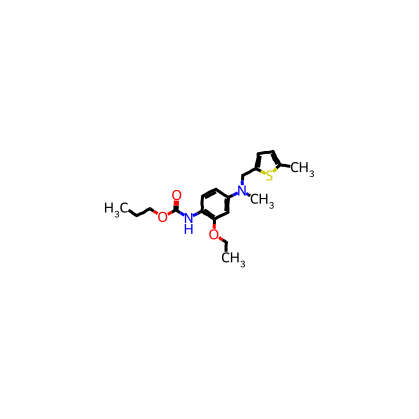 CCCOC(=O)Nc1ccc(N(C)Cc2ccc(C)s2)cc1OCC